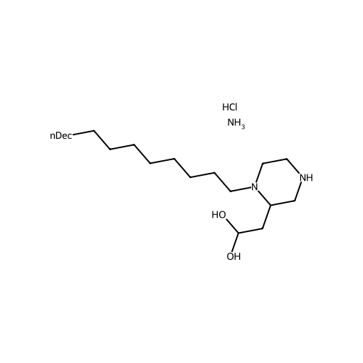 CCCCCCCCCCCCCCCCCCN1CCNCC1CC(O)O.Cl.N